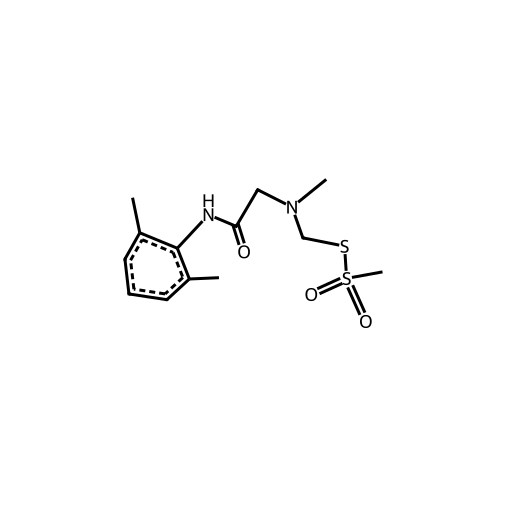 Cc1cccc(C)c1NC(=O)CN(C)CSS(C)(=O)=O